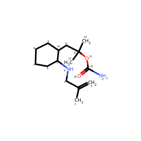 C=C(C)CNC1CCCCC1CC(C)(C)OC(N)=O